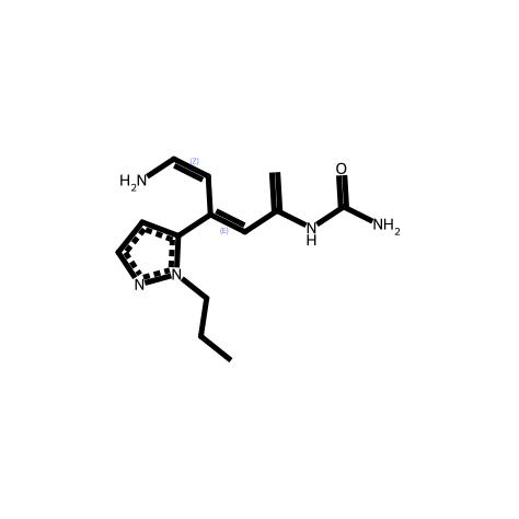 C=C(/C=C(\C=C/N)c1ccnn1CCC)NC(N)=O